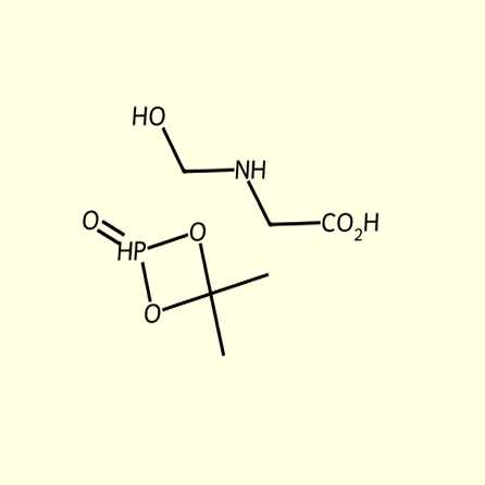 CC1(C)O[PH](=O)O1.O=C(O)CNCO